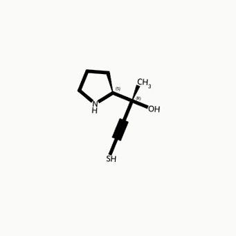 C[C@@](O)(C#CS)[C@@H]1CCCN1